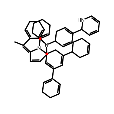 C/C1=C(N(C2=CCCCC2)C2C=C(C3=CCCC=C3)C=C(C3CC=CCC3)C2)\C=C/CN(C2C=CC(C3C=CC=CN3)=CC2)C2=CCCC=C21